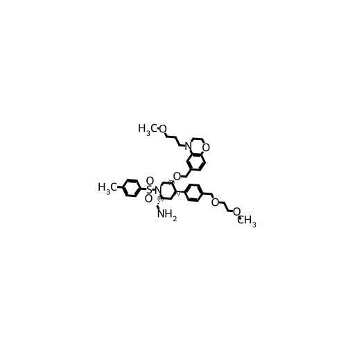 COCCCN1CCOc2ccc(CO[C@H]3CN(S(=O)(=O)c4ccc(C)cc4)[C@@H](CN)C[C@@H]3c3ccc(COCCOC)cc3)cc21